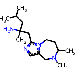 CC(C)CC(C)(N)Cc1ncc2n1CCC(C)N(C)C2